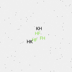 F.F.F.[KH].[KH]